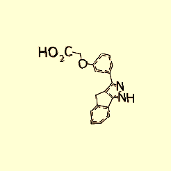 O=C(O)COc1cccc(-c2n[nH]c3c2Cc2ccccc2-3)c1